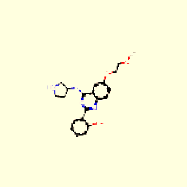 COCCOc1ccc2nc(-c3ccccc3O)nc(NC3CCNC3)c2c1